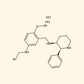 CC(C)CNc1ccc(OC(C)C)c(CN[C@H]2CCCN[C@H]2c2ccccc2)c1.Cl.Cl